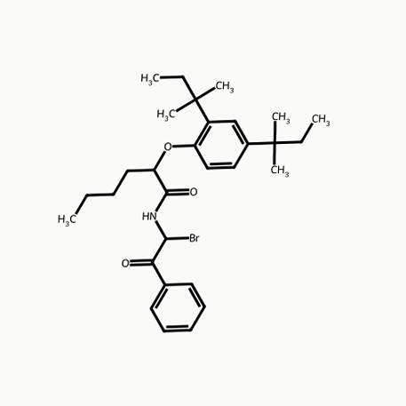 CCCCC(Oc1ccc(C(C)(C)CC)cc1C(C)(C)CC)C(=O)NC(Br)C(=O)c1ccccc1